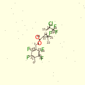 Cc1c(F)c(F)c(COC(=O)C2[C@H](/C=C(/Cl)C(F)(F)F)C2(C)C)c(F)c1F